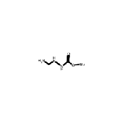 CC(C)(C)OC(=O)NBCN